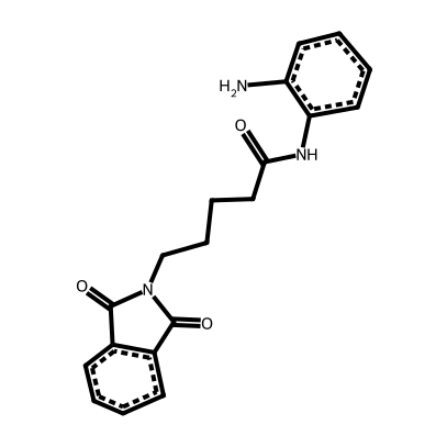 Nc1ccccc1NC(=O)CCCCN1C(=O)c2ccccc2C1=O